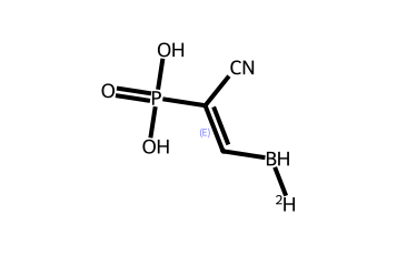 [2H]B/C=C(\C#N)P(=O)(O)O